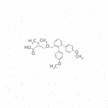 COc1ccc(-c2cccc(COCC3C(C(=O)O)C3(C)C)c2-c2ccc(OC)cc2)cc1